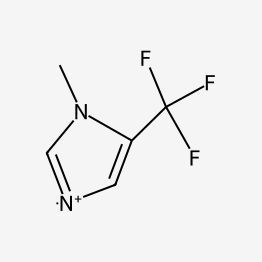 CN1C=[N+]C=C1C(F)(F)F